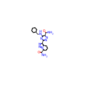 NC(=O)c1nnc(-c2nnn3c(C(N)=O)cccc23)nc1NCc1ccccc1